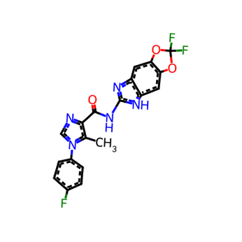 Cc1c(C(=O)Nc2nc3cc4c(cc3[nH]2)OC(F)(F)O4)ncn1-c1ccc(F)cc1